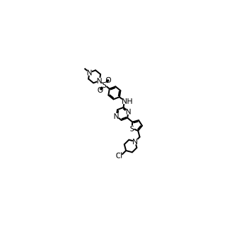 CN1CCN(S(=O)(=O)c2ccc(Nc3cncc(-c4ccc(CN5CCC(Cl)CC5)s4)n3)cc2)CC1